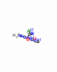 CN1CCN(C2CCN(C(=O)C(Cc3cc(C(F)(F)F)c4[nH]ncc4c3)NC(=O)N3CCC(N4CCc5ccccc5NC4=O)CC3)CC2)CC1